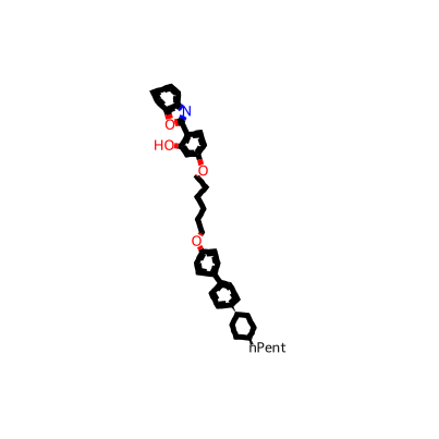 CCCCC[C@H]1CC[C@H](c2ccc(-c3ccc(OCCCCCCOc4ccc(-c5nc6ccccc6o5)c(O)c4)cc3)cc2)CC1